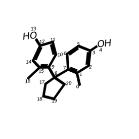 Cc1cc(O)ccc1C1(c2ccc(O)cc2C)CCCC1